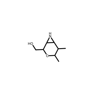 CC1OC(CO)C2NC2C1C